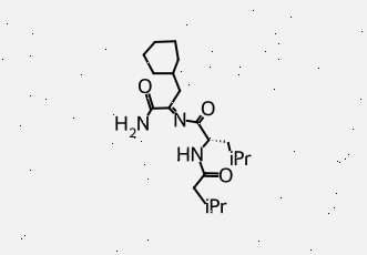 CC(C)CC(=O)N[C@@H](CC(C)C)C(=O)/N=C(\CC1CCCCC1)C(N)=O